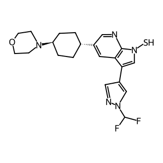 FC(F)n1cc(-c2cn(S)c3ncc([C@H]4CC[C@H](N5CCOCC5)CC4)cc23)cn1